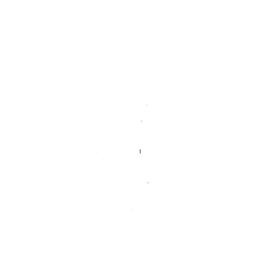 N#C[C@@]1(c2cc(F)c3c(N)ncnn23)O[C@H](COP(=O)(O)OP(=O)(O)OP(=O)(O)O)[C@@H](O)[C@H]1O